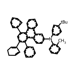 Cc1ccccc1N(c1ccc(C(C)(C)C)cc1)c1ccc2c(c1)c1ccccc1c1c(-c3ccccc3)cc(C3=CCCC=C3)c(-c3ccccc3)c21